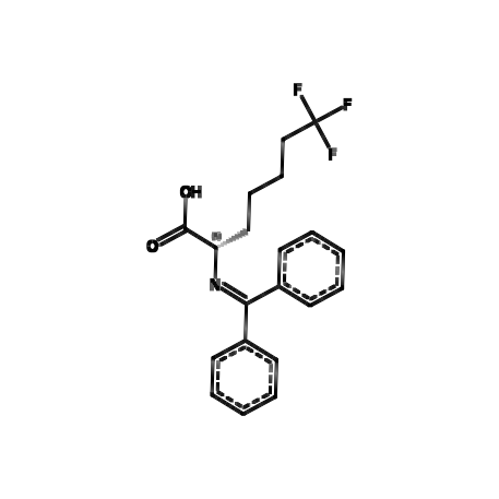 O=C(O)[C@H](CCCCC(F)(F)F)N=C(c1ccccc1)c1ccccc1